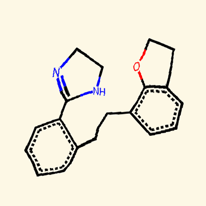 c1ccc(C2=NCCN2)c(CCc2cccc3c2OCC3)c1